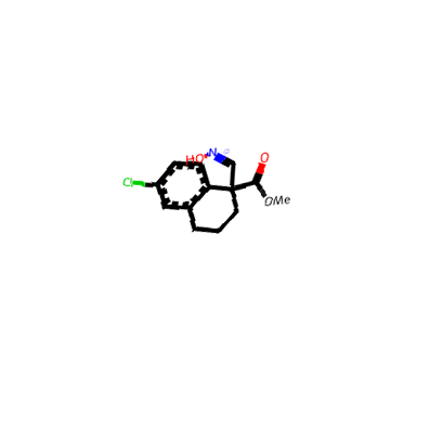 COC(=O)C1(/C=N\O)CCCc2cc(Cl)ccc21